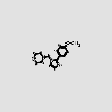 COc1ccc(-c2nccn2CN2CCOCC2)cc1